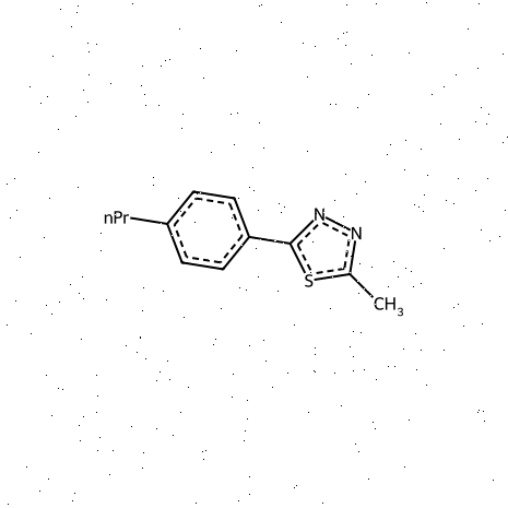 CCCc1ccc(-c2nnc(C)s2)cc1